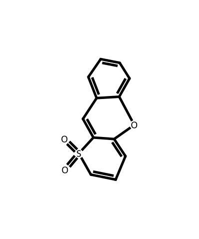 O=S1(=O)C=CC=C2Oc3ccccc3C=C21